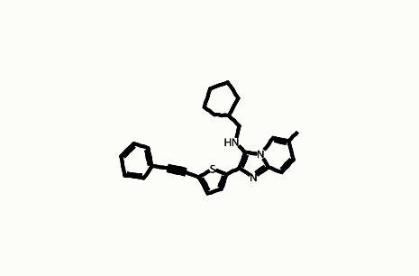 Cc1ccc2nc(-c3ccc(C#Cc4ccccc4)s3)c(NCC3CCCCC3)n2c1